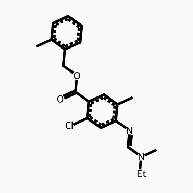 CCN(C)/C=N/c1cc(Cl)c(C(=O)OCc2ccccc2C)cc1C